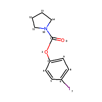 O=C(Oc1ccc(I)cc1)N1CCCC1